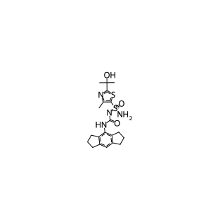 Cc1nc(C(C)(C)O)sc1[S@](N)(=O)=NC(=O)Nc1c2c(cc3c1CCC3)CCC2